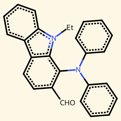 CCn1c2ccccc2c2ccc(C=O)c(N(c3ccccc3)c3ccccc3)c21